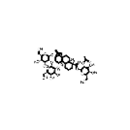 C=C1C[C@@]23CC[C@H]4[C@@](C)(CCC[C@@]4(C)C(=O)O[C@@H]4O[C@H](CO)[C@@H](O)[C@H](O)[C@H]4OC(C)=O)[C@@H]2CC[C@]1(O[C@@H]1O[C@H](CO)[C@@H](O)[C@H](O)[C@H]1O[C@@H]1O[C@H](CO)[C@@H](O)[C@H](O)[C@H]1O)C3